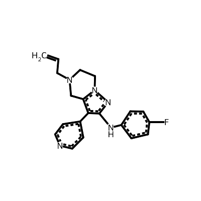 C=CCN1CCn2nc(Nc3ccc(F)cc3)c(-c3ccncc3)c2C1